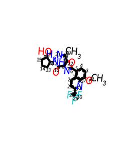 COc1ccc(-c2nc(C(=O)N[C@H]3CCC[C@H]3O)c([C@H](C)N)o2)c2ccc(C(F)(F)F)nc12